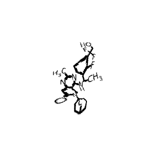 Cc1nc(NC(C)c2cccc(C(F)(F)CO)c2F)c2cn(C34CCC(CC3)CC4)c(=O)cc2n1